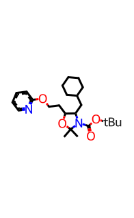 CC(C)(C)OC(=O)N1C(CC2CCCCC2)C(CCOc2ccccn2)OC1(C)C